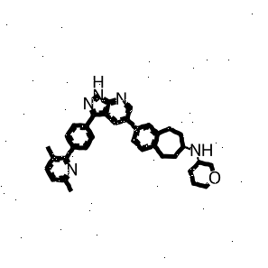 Cc1ccc(C)c(-c2ccc(-c3n[nH]c4ncc(-c5ccc6c(c5)CC[C@@H](N[C@H]5CCCOC5)CC6)cc34)cc2)n1